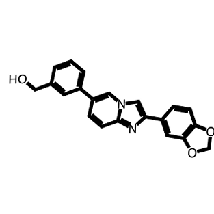 OCc1cccc(-c2ccc3nc(-c4ccc5c(c4)OCO5)cn3c2)c1